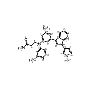 Cc1cc(N(CCC(N)=O)c2cc(-c3cn(-c4cnn(C(C)C)c4)c4ncccc34)nc(N)n2)ccn1